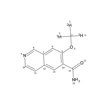 [2H]C([2H])([2H])Oc1cc2cnccc2cc1C(N)=O